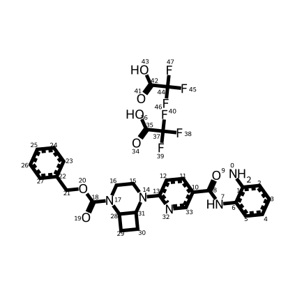 Nc1ccccc1NC(=O)c1ccc(N2CCN(C(=O)OCc3ccccc3)C3CCC32)nc1.O=C(O)C(F)(F)F.O=C(O)C(F)(F)F